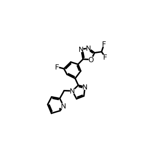 Fc1cc(-c2nnc(C(F)F)o2)cc(-c2nccn2Cc2ccccn2)c1